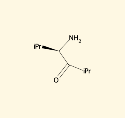 CC(C)C(=O)[C@H](N)C(C)C